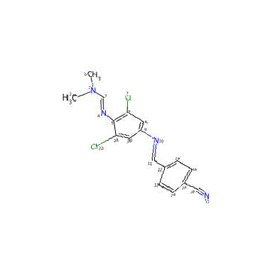 CN(C)C=Nc1c(Cl)cc(N=Cc2ccc(C#N)cc2)cc1Cl